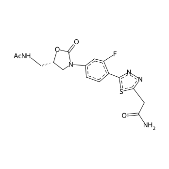 CC(=O)NC[C@H]1CN(c2ccc(-c3nnc(CC(N)=O)s3)c(F)c2)C(=O)O1